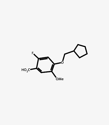 COc1cc(C(=O)O)c(F)cc1OCC1CCCC1